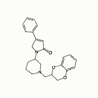 O=C1C=C(c2ccccc2)CN1C1CCCN(CC2COc3ccccc3O2)C1